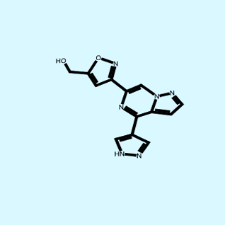 OCc1cc(-c2cn3nccc3c(-c3cn[nH]c3)n2)no1